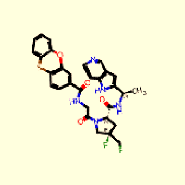 C[C@@H](NC(=O)[C@@H]1C[C@](F)(CF)CN1C(=O)CNC(=O)c1ccc2c(c1)Oc1ccccc1S2)c1cc2cnccc2[nH]1